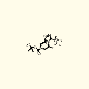 CCC(C)(C)OC(=O)N1Cc2nnc([C@@](C)(O)C(F)(F)F)n2[C@@H](C)C1